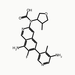 Cc1c(N)cncc1-c1cc2cc(N(C(=O)O)C3COCC3C)ncc2c(N)c1F